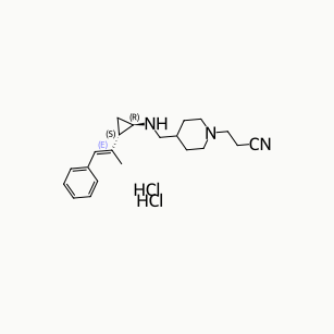 C/C(=C\c1ccccc1)[C@@H]1C[C@H]1NCC1CCN(CCC#N)CC1.Cl.Cl